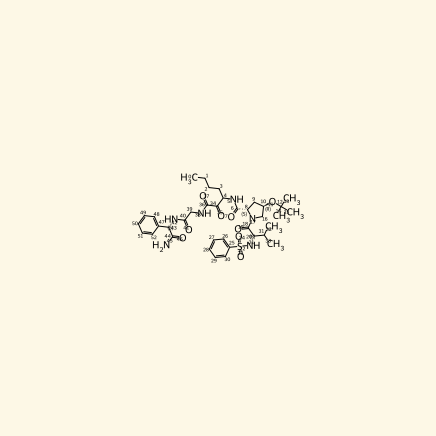 CCCCC(NC(=O)[C@@H]1C[C@@H](OC(C)(C)C)CN1C(=O)[C@@H](NS(=O)(=O)c1ccccc1)C(C)C)C(=O)C(=O)NCC(=O)N[C@H](C(N)=O)c1ccccc1